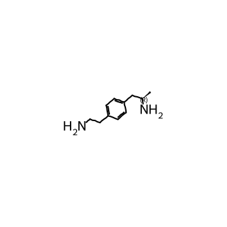 C[C@@H](N)Cc1ccc(CCN)cc1